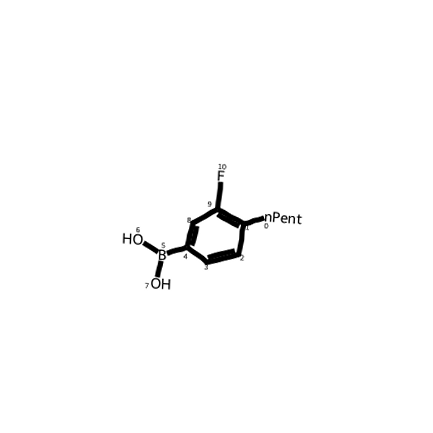 CCCCCc1ccc(B(O)O)cc1F